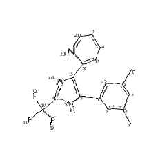 Cc1cc(C)cc(-c2[nH]c(C(F)(F)F)nc2-c2ccccn2)c1